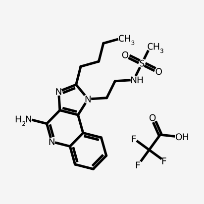 CCCCc1nc2c(N)nc3ccccc3c2n1CCNS(C)(=O)=O.O=C(O)C(F)(F)F